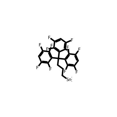 Fc1cc(F)c(F)c(C(CC[CH2][Sn])(c2c(F)c(F)cc(F)c2F)c2c(F)c(F)cc(F)c2F)c1F